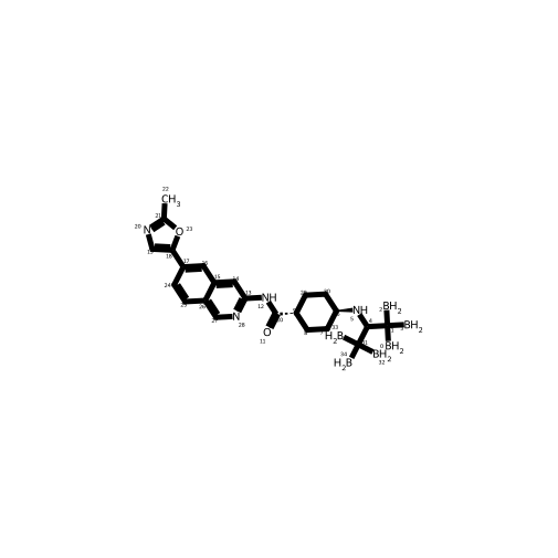 BC(B)(B)C(N[C@H]1CC[C@H](C(=O)Nc2cc3cc(-c4cnc(C)o4)ccc3cn2)CC1)C(B)(B)B